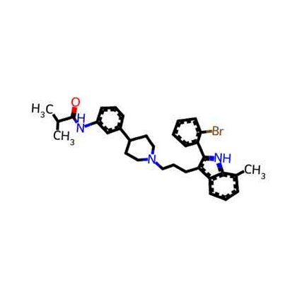 Cc1cccc2c(CCCN3CCC(c4cccc(NC(=O)C(C)C)c4)CC3)c(-c3ccccc3Br)[nH]c12